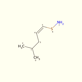 CC(C)C/C=C\SN